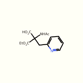 CCOC(=O)C(Cc1ccccn1)(NC(C)=O)C(=O)O